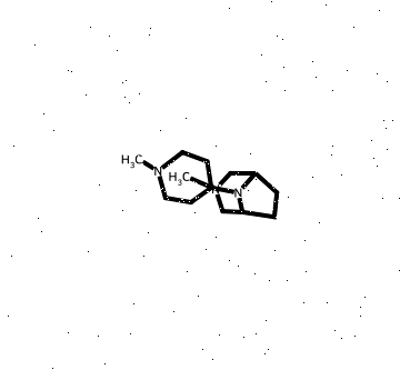 CN1CCC(N2C3CCC2CN(C)C3)CC1